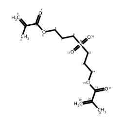 C=C(C)C(=O)OCCCS(=O)(=O)CCCOC(=O)C(=C)C